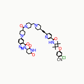 CC1(C)[C@H](NC(=O)c2ccc(C#CC3CCN(CC4CCN(C(=O)C5CCN(c6ccc7nnn(C8CCC(=O)NC8=O)c(=O)c7c6)CC5)CC4)CC3)nc2)C(C)(C)[C@H]1Oc1ccc(C#N)c(Cl)c1